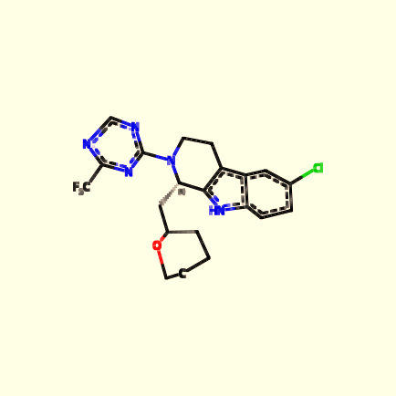 FC(F)(F)c1ncnc(N2CCc3c([nH]c4ccc(Cl)cc34)[C@@H]2CC2CCCCO2)n1